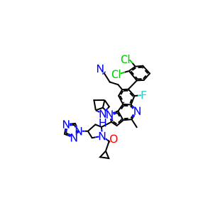 Cc1nc2c(F)c(-c3cccc(Cl)c3Cl)c(CCC#N)cc2c2c1cc(C1CC(n3cncn3)CN1C(=O)C1CC1)n2C1C2CNC1C2